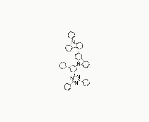 c1ccc(-c2cc(-c3nc(-c4ccccc4)nc(-c4ccccc4)n3)cc(-n3c4ccccc4c4cc(-c5cccc6c5c5ccccc5n6-c5ccccc5)ccc43)c2)cc1